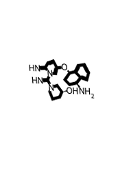 N=C(N1CCC[C@@H](O)C1)n1cc(O[C@@H]2CC[C@H](N)c3ccccc32)ccc1=N